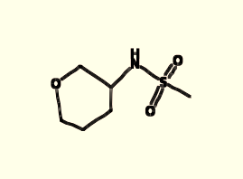 CS(=O)(=O)NC1CCCOC1